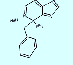 NC1(Cc2ccccc2)N=CN=C2N=CN=C21.[NaH]